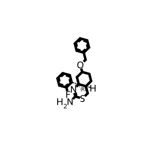 NC1=N[C@@]2(c3ccccc3F)CC(OCc3ccccc3)CC[C@H]2CS1